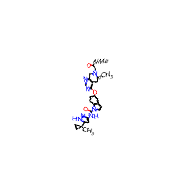 CNC(=O)CN1Cc2ncnc(Oc3ccc4c(ccn4C(=O)Nc4cc(C5(C)CC5)[nH]n4)c3)c2C[C@@H]1C